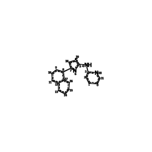 c1ccc(Nc2nc(-c3cccc4ccccc34)cs2)nc1